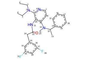 CCN(CC)c1nccc(N(C)C(C)c2ccccc2)c1NC(=O)Cc1cc(F)cc(F)c1